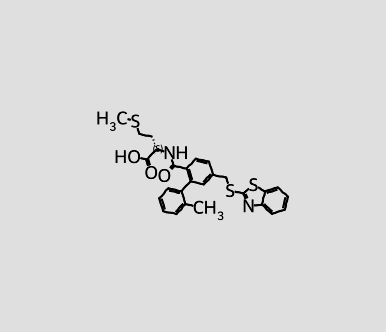 CSCC[C@H](NC(=O)c1ccc(CSc2nc3ccccc3s2)cc1-c1ccccc1C)C(=O)O